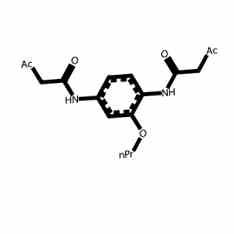 CCCOc1cc(NC(=O)CC(C)=O)ccc1NC(=O)CC(C)=O